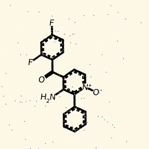 Nc1c(C(=O)c2ccc(F)cc2F)cc[n+]([O-])c1-c1ccccc1